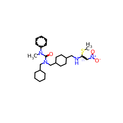 CS/C(=C\[N+](=O)[O-])NCC1CCC(CN(CC2CCCCC2)C(=O)N(C)c2ccccc2)CC1